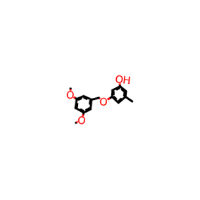 COc1cc(COc2cc(C)cc(O)c2)cc(OC)c1